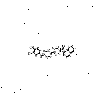 O=C(c1nccc2ccccc12)N1CCC(N2CCC(Cc3ccc(Cl)c(Cl)c3)CC2)CC1